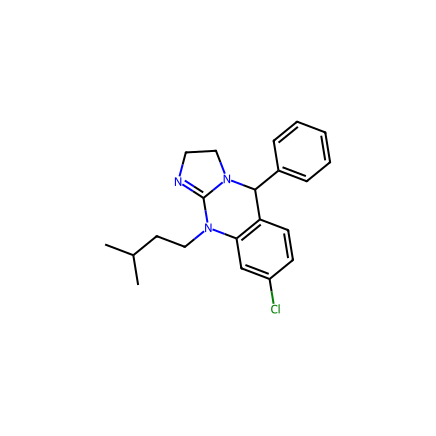 CC(C)CCN1C2=NCCN2C(c2ccccc2)c2ccc(Cl)cc21